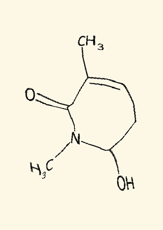 CC1=CCC(O)N(C)C1=O